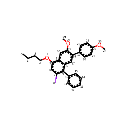 CCCCOc1cc(I)c(-c2ccccc2)c2cc(-c3ccc(OC)cc3)c(OC)cc12